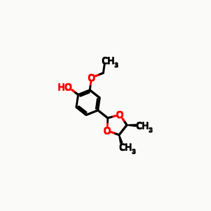 CCOc1cc(C2O[C@@H](C)[C@@H](C)O2)ccc1O